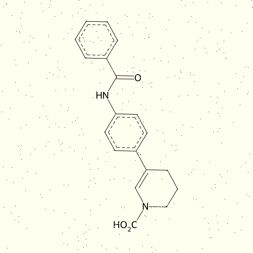 O=C(Nc1ccc(C2=CN(C(=O)O)CCC2)cc1)c1ccccc1